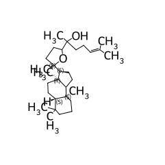 CC(C)=CCCC(C)(O)C1CC[C@@](C)([C@H]2CCC3[C@@]2(C)CC[C@H]2C(C)(C)CCC[C@]32C)O1